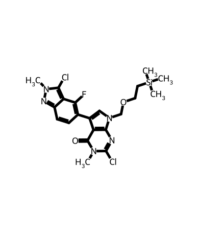 Cn1nc2ccc(-c3cn(COCC[Si](C)(C)C)c4nc(Cl)n(C)c(=O)c34)c(F)c2c1Cl